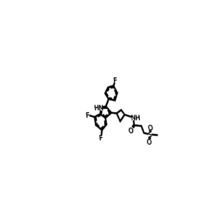 CS(=O)(=O)CCC(=O)NC1CC(c2c(-c3ccc(F)cc3)[nH]c3c(F)cc(F)cc23)C1